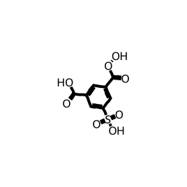 O=C(O)c1cc(C(=O)OO)cc(S(=O)(=O)O)c1